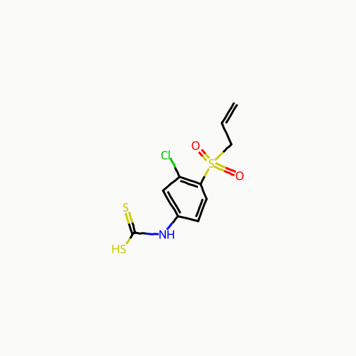 C=CCS(=O)(=O)c1ccc(NC(=S)S)cc1Cl